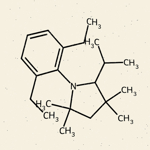 CCc1cccc(CC)c1N1C(C(C)C)C(C)(C)CC1(C)C